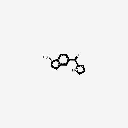 Cn1ccc2cc(C(=O)c3ccc[nH]3)ccc21